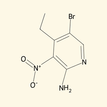 CCc1c(Br)cnc(N)c1[N+](=O)[O-]